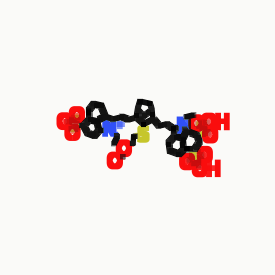 CCn1/c(=C/C=C2C(SCCOC=O)=C(/C=C/C3=[N+](CC)c4ccc(S(=O)(=O)[O-])c5cccc3c45)C3CCC/2C3)c2cccc3c(S(=O)(=O)O)cc(S(=O)(=O)O)c1c32